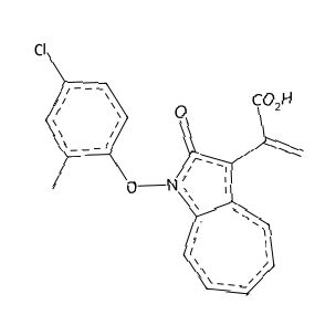 C=C(C(=O)O)c1c2cccccc-2n(Oc2ccc(Cl)cc2C)c1=O